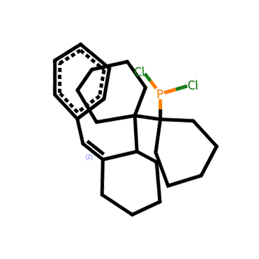 ClP(Cl)C1(C2(C3CCCC/C3=C/c3ccccc3)CCCCC2)CCCCC1